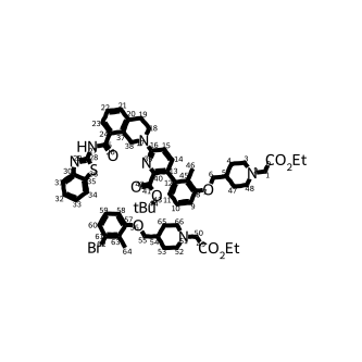 CCOC(=O)CN1CCC(COc2cccc(-c3ccc(N4CCc5cccc(C(=O)Nc6nc7ccccc7s6)c5C4)nc3C(=O)OC(C)(C)C)c2C)CC1.CCOC(=O)CN1CCC(COc2cccc(Br)c2C)CC1